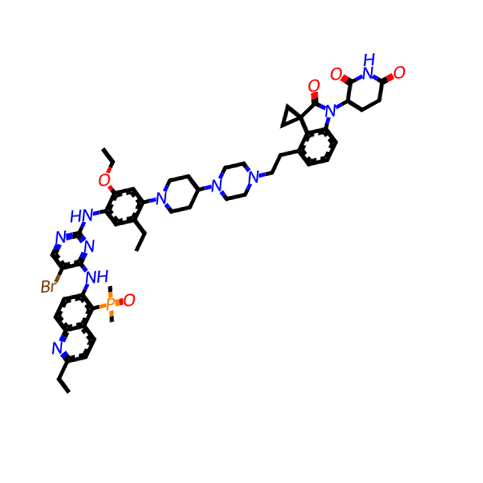 CCOc1cc(N2CCC(N3CCN(CCc4cccc5c4C4(CC4)C(=O)N5C4CCC(=O)NC4=O)CC3)CC2)c(CC)cc1Nc1ncc(Br)c(Nc2ccc3nc(CC)ccc3c2P(C)(C)=O)n1